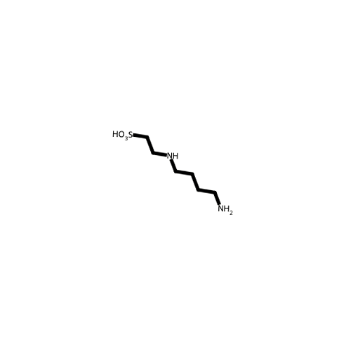 NCCCCNCCS(=O)(=O)O